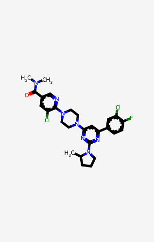 CC1CCCN1c1nc(-c2ccc(F)c(Cl)c2)cc(N2CCN(c3ncc(C(=O)N(C)C)cc3Cl)CC2)n1